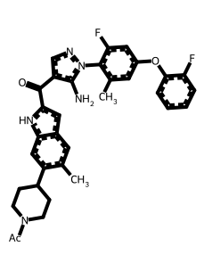 CC(=O)N1CCC(c2cc3[nH]c(C(=O)c4cnn(-c5c(C)cc(Oc6ccccc6F)cc5F)c4N)cc3cc2C)CC1